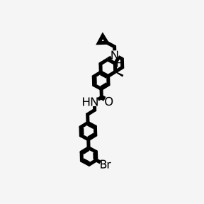 C[C@H]1C2Cc3ccc(C(=O)NCCc4ccc(-c5cccc(Br)c5)cc4)cc3[C@@]1(C)CCN2CC1CC1